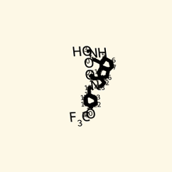 O=C(NO)c1cccc2c1CC1(CCN(Cc3ccc(OC(F)(F)F)cc3)C1=O)C2